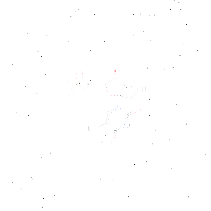 C=C[C@]1(n2cc(C)c(=O)[nH]c2=O)C[C@H](O)[C@@H](COP(=O)(O)O)O1